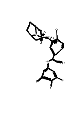 O=C(Nc1cc(F)c(F)c(F)c1)c1ccc(Cl)c(S(=O)(=O)N2C3CCC2CC(O)C3)c1